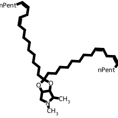 CCCCC/C=C\C/C=C\CCCCCCCCC1(CCCCCCCC/C=C\C/C=C\CCCCC)OC2CN(C)C(C)C2O1